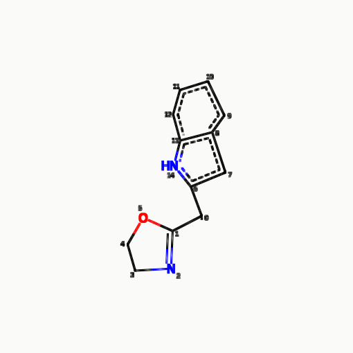 [CH](C1=NCCO1)c1cc2ccccc2[nH]1